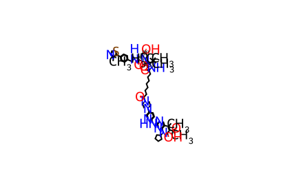 CC(=O)C1=C(C)c2cnc(Nc3ccc(N4CCN(C(=O)CCCCCCCC(=O)N[C@H](C(=O)N5C[C@H](O)C[C@H]5C(=O)NCc5ccc(-c6scnc6C)cc5)C(C)(C)C)CC4)cn3)nc2N(C2CCCC2)C1O